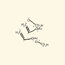 C=COC(C)=O.C=COC(C)=O.O=C(O)Cl.O=C(O)Cl